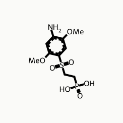 COc1cc(S(=O)(=O)CCP(=O)(O)O)c(OC)cc1N